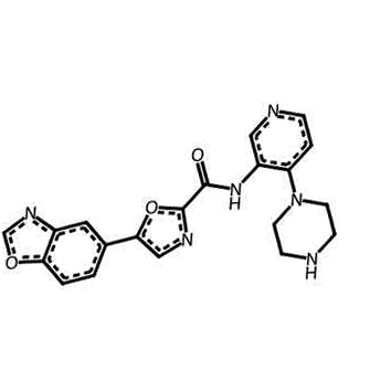 O=C(Nc1cnccc1N1CCNCC1)c1ncc(-c2ccc3ocnc3c2)o1